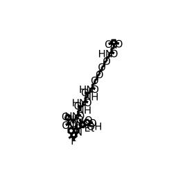 CC[C@]1(O)C(=O)OCc2c1cc1n(c2=O)Cc2c-1nc1cc(F)c(C)c3c1c2[C@H](NC(=O)[C@H]1COCCN1C(=O)CNC(=O)CNC(=O)CNC(=O)CNC(=O)CNC(=O)CCOCCOCCOCCOCCNC(=O)CCN1C(=O)C=CC1=O)CC3